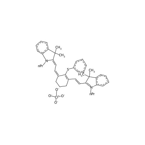 CCCN1C(=CC=C2CCCC(C=CC3=[N+](CCC)c4ccccc4C3(C)C)=C2Sc2ccccc2)C(C)(C)c2ccccc21.[O-][Cl+3]([O-])([O-])[O-]